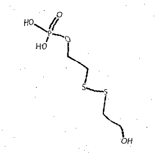 O=P(O)(O)OCCSSCCO